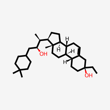 CC[C@]1(O)CC[C@H]2C(=CC[C@@H]3[C@@H]2CC[C@]2(C)[C@@H]([C@H](C)[C@@H](O)CC4CCC(C)(C)CC4)CC[C@@H]32)C1